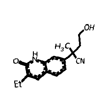 CCc1cc2ccc(C(C)(C#N)CCO)cc2[nH]c1=O